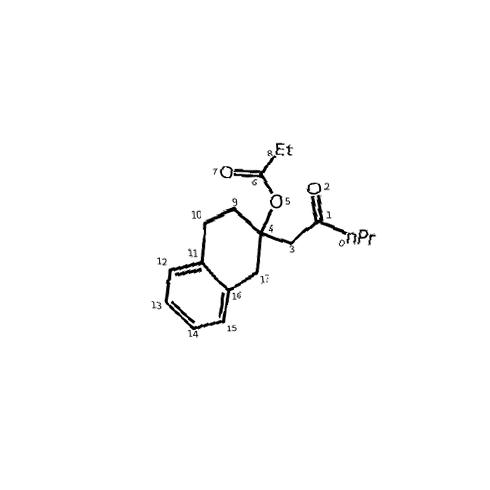 CCCC(=O)CC1(OC(=O)CC)CCc2ccccc2C1